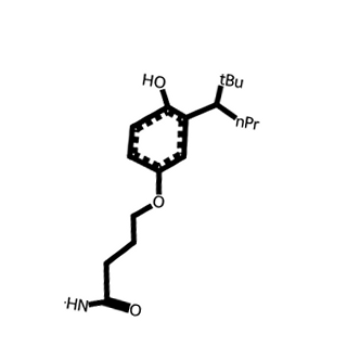 CCCC(c1cc(OCCCC([NH])=O)ccc1O)C(C)(C)C